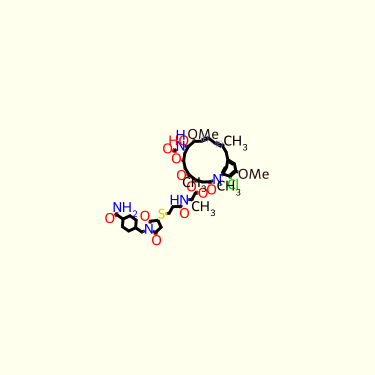 COc1cc2cc(c1Cl)N(C)C(=O)CC(OC(=O)C(C)NC(=O)CCSC1CC(=O)N(CC3CCC(C(N)=O)CC3)C1=O)C1(C)OC1C1CC(O)(NC(=O)O1)C(OC)/C=C/C=C(\C)C2